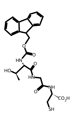 C[C@@H](O)[C@H](NC(=O)OCC1c2ccccc2-c2ccccc21)C(=O)NCC(=O)N[C@@H](CS)C(=O)O